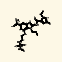 CCCn1c(NC(=O)c2cc(C)nn2CC)nc2cc(C(N)=O)cc(OCCNS(=O)(=O)NC)c21